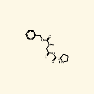 CN(CC(=O)OC(=O)[C@@H]1CCCN1)C(=O)OCc1ccccc1